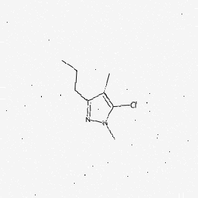 CCCc1nn(C)c(Cl)c1C